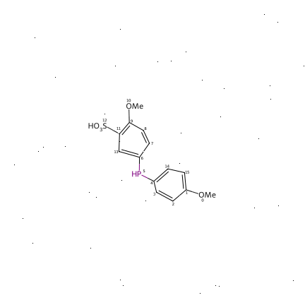 COc1ccc(Pc2ccc(OC)c(S(=O)(=O)O)c2)cc1